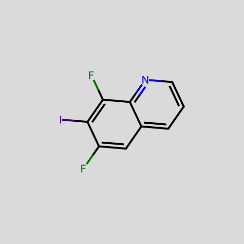 Fc1cc2cccnc2c(F)c1I